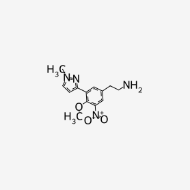 COc1c(-c2ccn(C)n2)cc(CCN)cc1[N+](=O)[O-]